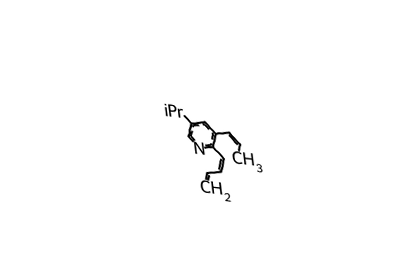 C=C/C=C\c1ncc(C(C)C)cc1/C=C\C